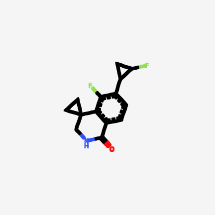 O=C1NCC2(CC2)c2c1ccc(C1CC1F)c2F